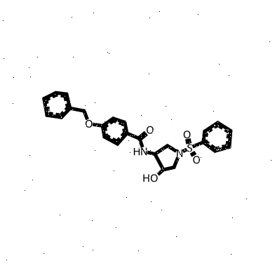 O=C(NC1CN(S(=O)(=O)c2ccccc2)CC1O)c1ccc(OCc2ccccc2)cc1